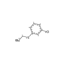 CC(C)(C)CSc1cccc(Cl)c1